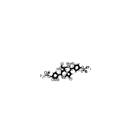 COc1cc(OS(=O)(=O)C(F)(F)F)ccc1C(=O)c1[nH]c(Cl)c(Cl)c1-n1c(C(=O)c2ccc(OS(=O)(=O)C(F)(F)F)cc2OC)cc(Cl)c1Cl